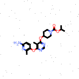 Cc1nc(N)ccc1Oc1ncnc(OC2CCN(C(=O)OC(C)C)CC2)c1C